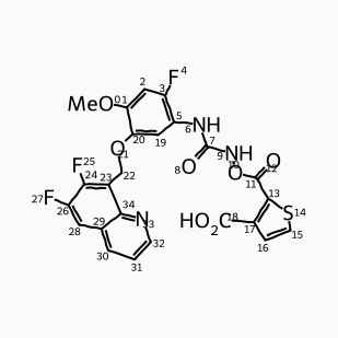 COc1cc(F)c(NC(=O)NOC(=O)c2sccc2C(=O)O)cc1OCc1c(F)c(F)cc2cccnc12